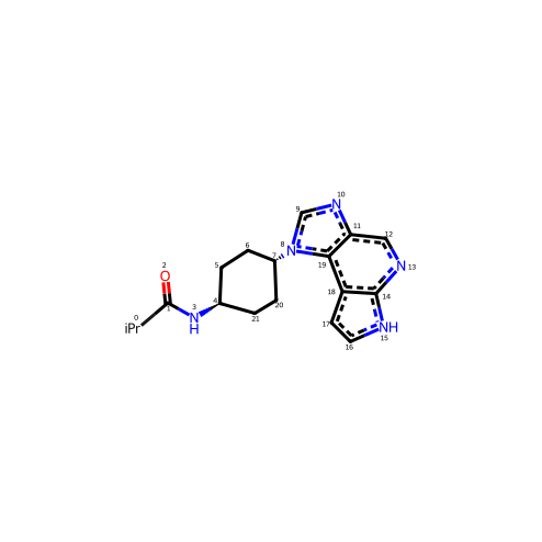 CC(C)C(=O)N[C@H]1CC[C@H](n2cnc3cnc4[nH]ccc4c32)CC1